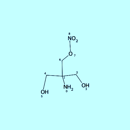 NC(CO)(CO)CO[N+](=O)[O-]